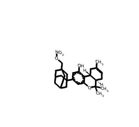 CC1=CC[C@@H]2[C@@H](C1)c1c(O)cc(C34CC5CC(CC(CO[N+](=O)[O-])(C5)C3)C4)cc1OC2(C)C